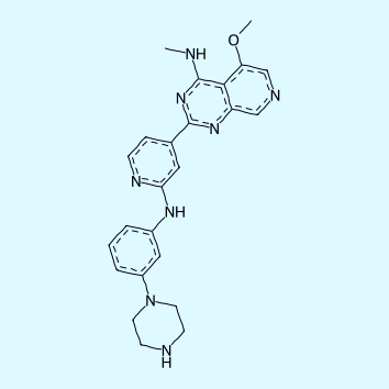 CNc1nc(-c2ccnc(Nc3cccc(N4CCNCC4)c3)c2)nc2cncc(OC)c12